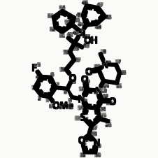 COc1ccc(F)cc1[C@H](Cn1c(=O)n(C2CCCN(C)C2=O)c(=O)c2c(C)c(-c3ncco3)sc21)OCCCC(C)(C)[Si](O)(c1ccccc1)c1ccccc1